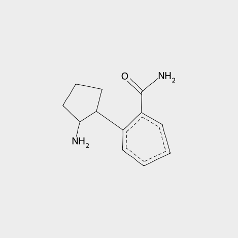 NC(=O)c1ccccc1C1CCCC1N